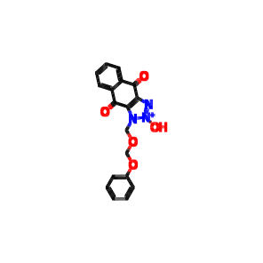 O=C1c2ccccc2C(=O)c2c1n[n+](O)n2COCOc1ccccc1